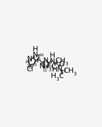 CC(C)NC(=O)C(C)(C)Nc1ccnc(-c2c[nH]c3ncc(Cl)cc23)n1